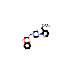 COCc1cccnc1N1CCN(C[C@H]2COc3ccccc3O2)CC1